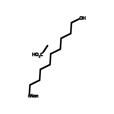 CC(=O)O.CCCCCCCCCCCCCCCCCCO